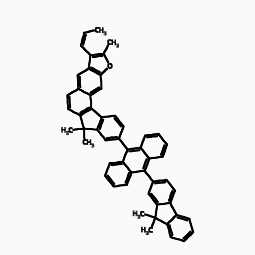 C/C=C\c1c(C)oc2cc3c4c(ccc3cc12)C(C)(C)c1cc(-c2c3ccccc3c(-c3ccc5c(c3)C(C)(C)c3ccccc3-5)c3ccccc23)ccc1-4